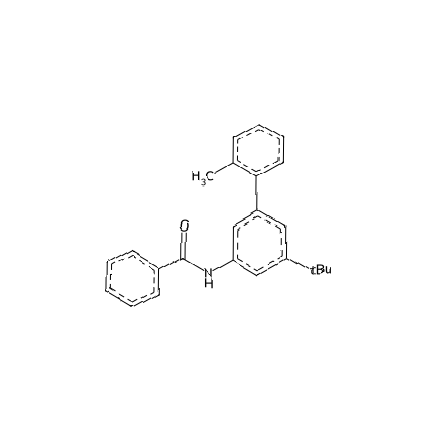 Cc1ccccc1-c1cc(NC(=O)c2ccccc2)cc(C(C)(C)C)c1